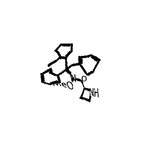 CON(C(=O)[C@@H]1CCN1)C(c1ccccc1)(c1ccccc1)c1ccccc1C